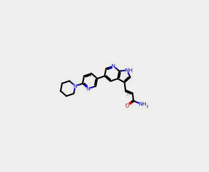 NC(=O)/C=C/c1c[nH]c2ncc(-c3ccc(N4CCCCC4)nc3)cc12